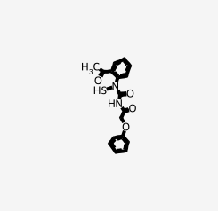 CC(=O)c1ccccc1N(S)C(=O)NC(=O)COc1ccccc1